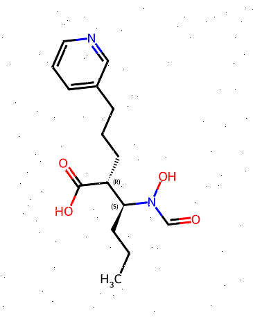 CCC[C@@H]([C@@H](CCCc1cccnc1)C(=O)O)N(O)C=O